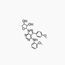 COc1ccc(-c2nn([C@@H]3O[C@H](C)[C@@H](O)[C@H]3O)c3ncnc(Nc4ccccc4OC)c23)cc1